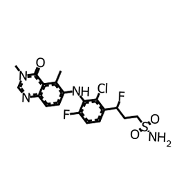 Cc1c(Nc2c(F)ccc(C(F)CCS(N)(=O)=O)c2Cl)ccc2ncn(C)c(=O)c12